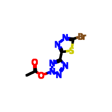 CC(=O)On1nnc(-c2nnc(Br)s2)n1